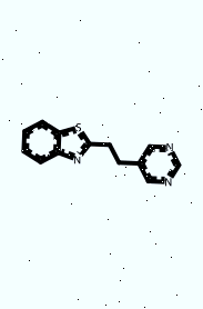 c1ccc2sc(CCc3cncnc3)nc2c1